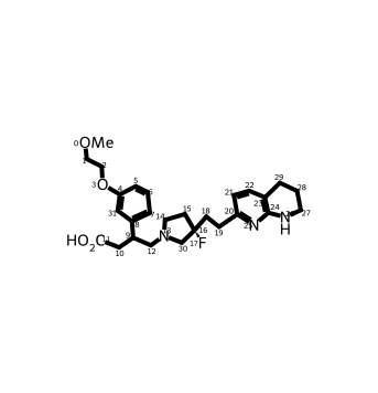 COCCOc1cccc(C(CC(=O)O)CN2CC[C@@](F)(CCc3ccc4c(n3)NCCC4)C2)c1